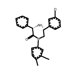 Cc1ccc(N(CCc2cccc(Cl)c2)C(=O)[C@@H](N)c2ccccc2)cc1C